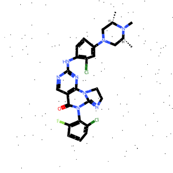 C[C@@H]1CN(c2ccc(Nc3ncc4c(n3)N3CCN=C3N(c3c(F)cccc3Cl)C4=O)c(Cl)c2)C[C@H](C)N1C